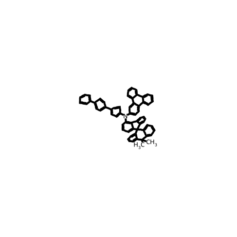 CC1(C)c2ccccc2C2(c3ccccc3-c3c(N(c4ccc(-c5ccc(-c6ccccc6)cc5)cc4)c4ccc5c6ccccc6c6ccccc6c5c4)cccc32)c2ccccc21